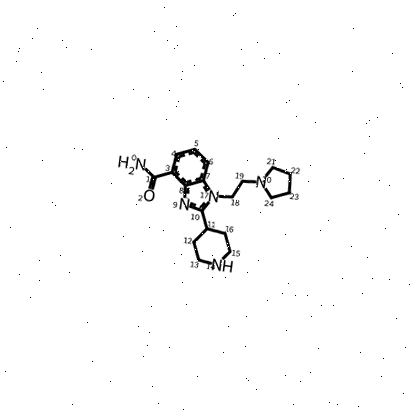 NC(=O)c1cccc2c1nc(C1CCNCC1)n2CCN1CCCC1